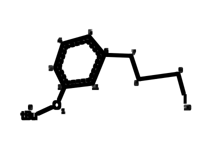 CC(C)(C)Oc1cccc(CCCI)c1